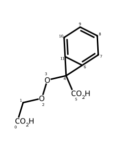 O=C(O)COOC1(C(=O)O)c2ccccc21